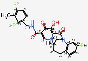 Cc1c(F)ccc(CNC(=O)c2cn3c(c(O)c2=O)C(=O)N2C[C@@H]3CCc3ccc(F)cc32)c1F